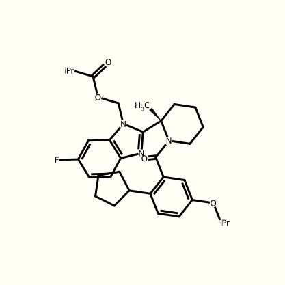 CC(C)Oc1ccc(C2CCCC2)c(C(=O)N2CCCC[C@@]2(C)c2nc3ccc(F)cc3n2COC(=O)C(C)C)c1